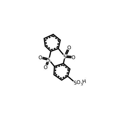 O=S(=O)(O)c1ccc2c(c1)S(=O)(=O)c1ccccc1S2(=O)=O